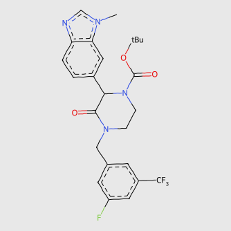 Cn1cnc2ccc(C3C(=O)N(Cc4cc(F)cc(C(F)(F)F)c4)CCN3C(=O)OC(C)(C)C)cc21